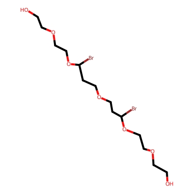 OCCOCCOC(Br)CCOCCC(Br)OCCOCCO